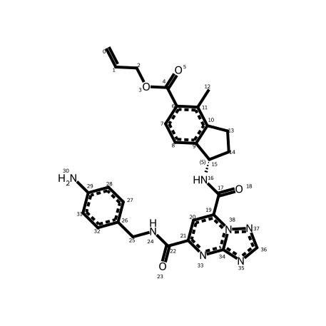 C=CCOC(=O)c1ccc2c(c1C)CC[C@@H]2NC(=O)c1cc(C(=O)NCc2ccc(N)cc2)nc2ncnn12